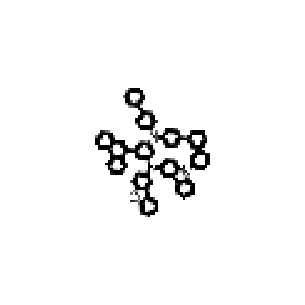 c1ccc(-c2ccc(N(c3ccc(-c4ccccc4)cc3)c3cc(-c4cc5ccccc5c5ccccc45)cc(N(c4ccc5oc6ccccc6c5c4)c4ccc5c(c4)c4ccccc4n5-c4ccccc4)c3)cc2)cc1